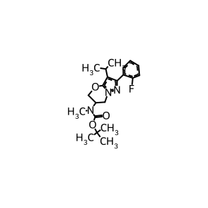 CC(C)c1c(-c2ccccc2F)nn2c1OCC(N(C)C(=O)OC(C)(C)C)C2